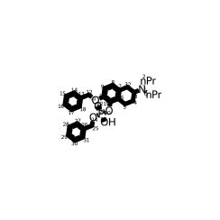 CCCN(CCC)C1CCc2c(ccc(OCc3ccccc3)c2OP(=O)(O)OCc2ccccc2)C1